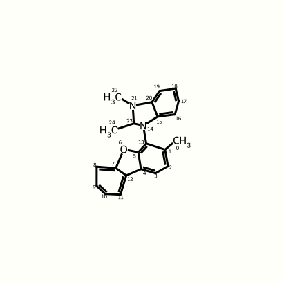 Cc1ccc2c(oc3ccccc32)c1N1c2ccccc2N(C)C1C